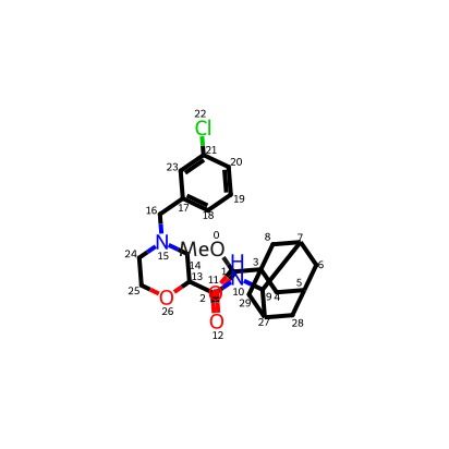 COC(=O)C12CC3CC(C1)C(NC(=O)C1CN(Cc4cccc(Cl)c4)CCO1)C(C3)C2